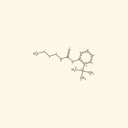 CCCCOC(=O)Oc1ccccc1C(C)(C)C